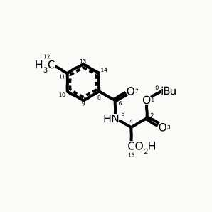 CCC(C)OC(=O)C(NC(=O)c1ccc(C)cc1)C(=O)O